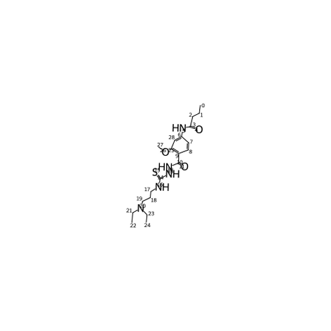 CCCC(=O)Nc1ccc(C(=O)NNC(=S)NCCCN(CC)CC)c(OC)c1